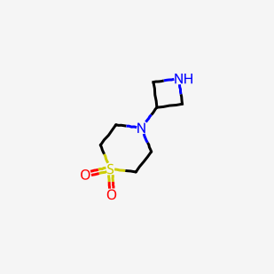 O=S1(=O)CCN(C2CNC2)CC1